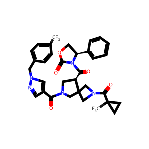 O=C(c1cnn(Cc2ccc(C(F)(F)F)cc2)c1)N1C[C@@H](C(=O)N2C(=O)OC[C@H]2c2ccccc2)C2(C1)CN(C(=O)C1(C(F)(F)F)CC1)C2